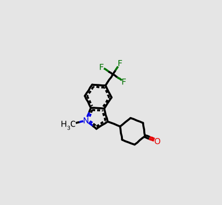 Cn1cc(C2CCC(=O)CC2)c2cc(C(F)(F)F)ccc21